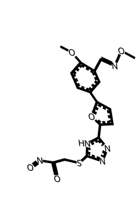 CO/N=C/c1cc(-c2ccc(-c3nnc(SCC(=O)N=O)[nH]3)o2)ccc1OC